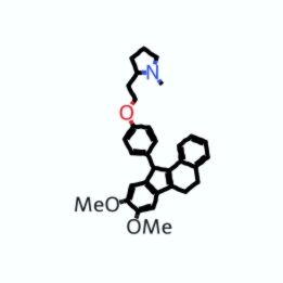 COc1cc2c(cc1OC)C(c1ccc(OCCC3CCCN3C)cc1)C1=C2CCc2ccccc21